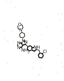 Nc1ncnc2c1c(-c1ccc3cc(Cc4ccccc4Cl)[nH]c3c1)nn2[C@H]1CC[C@H](N2CCOCC2)CC1